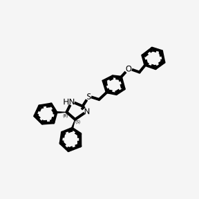 c1ccc(COc2ccc(CSC3=N[C@@H](c4ccccc4)[C@@H](c4ccccc4)N3)cc2)cc1